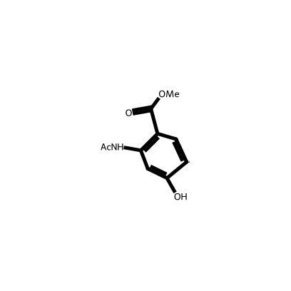 COC(=O)c1c[c]c(O)cc1NC(C)=O